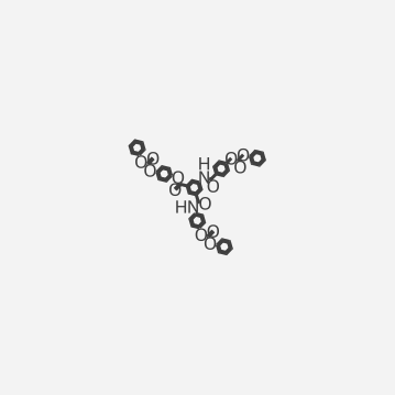 O=C(Oc1ccccc1)Oc1ccc(NC(=O)c2cc(NC(=O)c3ccc(OC(=O)Oc4ccccc4)cc3)cc(C(=O)Oc3ccc(OC(=O)Oc4ccccc4)cc3)c2)cc1